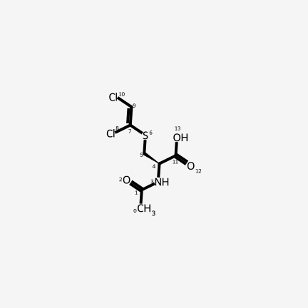 CC(=O)N[C@@H](CSC(Cl)=CCl)C(=O)O